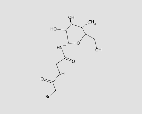 C[C@@H]1C(CO)O[C@H](NC(=O)CNC(=O)CBr)C(O)[C@H]1O